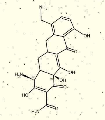 NCc1ccc(O)c2c1CC1CC3[C@H](N)C(O)=C(C(N)=O)C(=O)[C@@]3(O)C(O)=C1C2=O